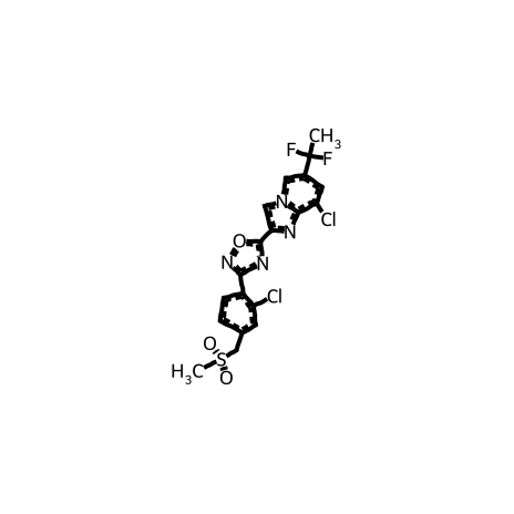 CC(F)(F)c1cc(Cl)c2nc(-c3nc(-c4ccc(CS(C)(=O)=O)cc4Cl)no3)cn2c1